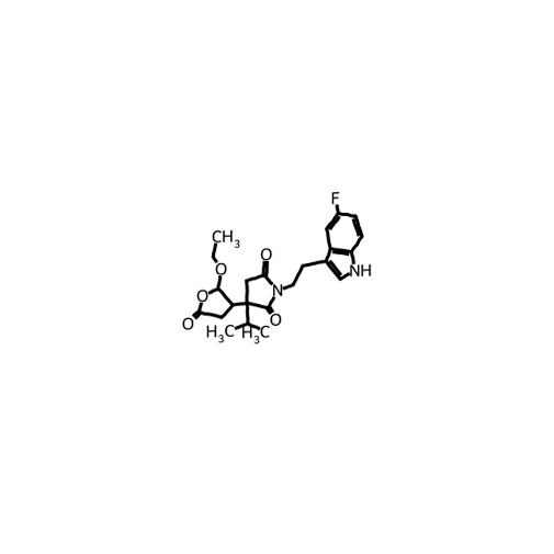 CCOC1OC(=O)CC1C1(C(C)C)CC(=O)N(CCc2c[nH]c3ccc(F)cc23)C1=O